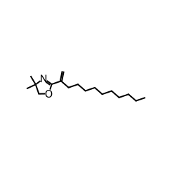 C=C(CCCCCCCCCC)C1=NC(C)(C)CO1